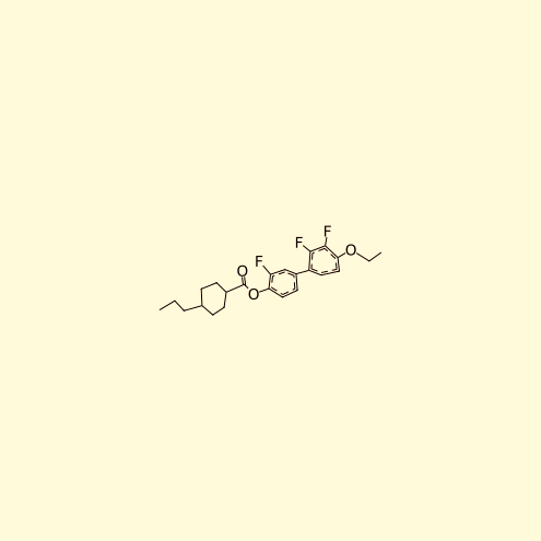 CCCC1CCC(C(=O)Oc2ccc(-c3ccc(OCC)c(F)c3F)cc2F)CC1